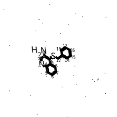 Nc1cnc2ccccc2c1SCc1ccccc1